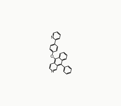 c1ccc(-c2c3ccccc3c(Oc3ccc(-c4ccccn4)cc3)c3ccncc23)cc1